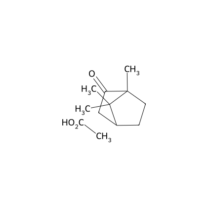 CC(=O)O.CC12CCC(CC1=O)C2(C)C